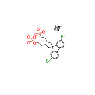 O=S(=O)([O-])CCCCC1(CCCCOS(=O)(=O)[O-])c2cc(Br)ccc2-c2ccc(Br)cc21.[Na+].[Na+]